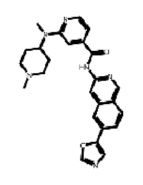 CN1CCC(N(C)c2cc(C(=O)Nc3cc4cc(-c5cnco5)ccc4cn3)ccn2)CC1